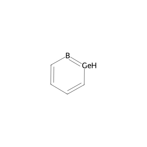 [B]1=[GeH][CH]=CC=C1